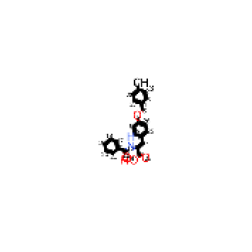 Cc1ccc(COc2ccc(C=C(NC(=O)c3ccccc3)C(=O)O)cc2)cc1